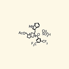 CC(=O)OCC1CCC2CN(C(=O)c3cc(C(F)(F)F)cc(C(F)(F)F)c3)C(Cc3c[nH]c4ccccc34)CN12.CS(=O)(=O)O